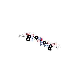 O=C(Nc1ccc(C(=O)Nc2cc(O)c(S(=O)(=O)O)c3ccccc23)cc1)C(=O)Nc1ccc(C(=O)Nc2cc(O)c(S(=O)(=O)O)c3ccccc23)cc1